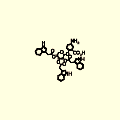 Nc1ccc(OC2OC[C@@H](OC(=O)Cc3c[nH]c4ccccc34)[C@H](OC(=O)Cc3c[nH]c4ccccc34)[C@H]2OC(=O)Cc2c[nH]c3ccccc23)c(C(=O)O)c1